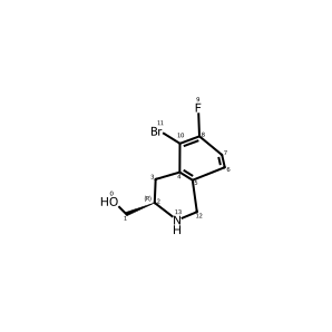 OC[C@H]1Cc2c(ccc(F)c2Br)CN1